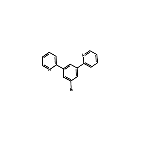 Brc1cc(-c2ccccn2)cc(-c2ccccn2)c1